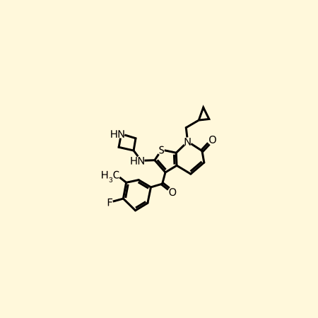 Cc1cc(C(=O)c2c(NC3CNC3)sc3c2ccc(=O)n3CC2CC2)ccc1F